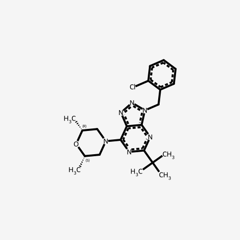 C[C@@H]1CN(c2nc(C(C)(C)C)nc3c2nnn3Cc2ccccc2Cl)C[C@H](C)O1